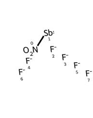 O=[N+]([O-])[Sb].[F-].[F-].[F-].[F-].[F-].[F-]